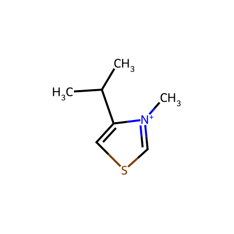 CC(C)c1csc[n+]1C